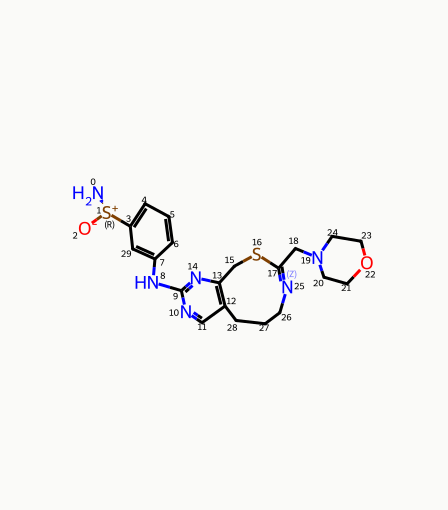 N[S@@+]([O-])c1cccc(Nc2ncc3c(n2)CS/C(CN2CCOCC2)=N\CCC3)c1